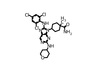 CC1(C(N)=O)CCC(n2c(Nc3c(Cl)cc(Cl)cc3Cl)nc3cnc(NC4CCOCC4)nc32)CC1